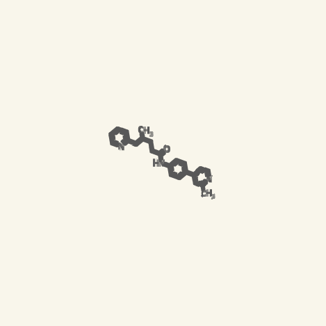 Cc1cc(-c2ccc(NC(=O)CCC(C)Cc3ccccn3)cc2)ccn1